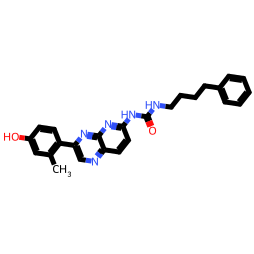 Cc1cc(O)ccc1-c1cnc2ccc(NC(=O)NCCCCc3ccccc3)nc2n1